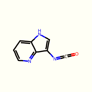 O=C=Nc1c[nH]c2cccnc12